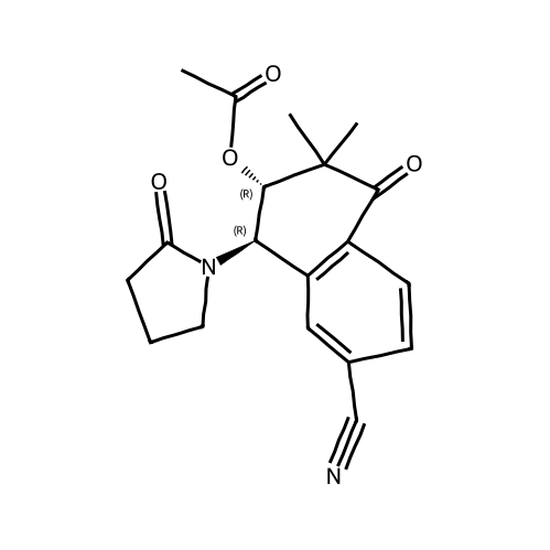 CC(=O)O[C@H]1[C@H](N2CCCC2=O)c2cc(C#N)ccc2C(=O)C1(C)C